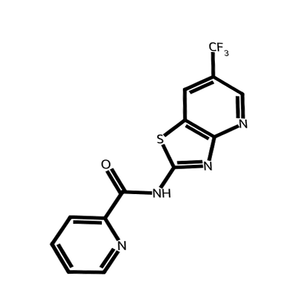 O=C(Nc1nc2ncc(C(F)(F)F)cc2s1)c1ccccn1